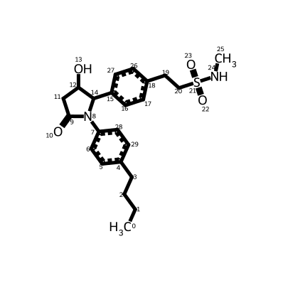 CCCCc1ccc(N2C(=O)CC(O)C2c2ccc(CCS(=O)(=O)NC)cc2)cc1